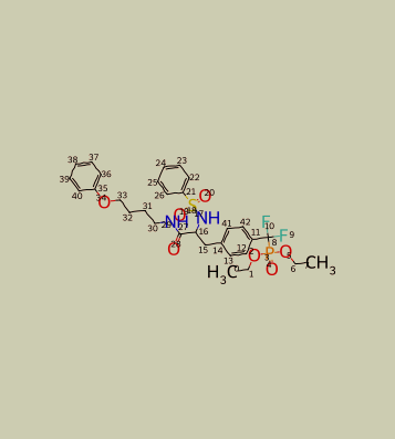 CCOP(=O)(OCC)C(F)(F)c1ccc(CC(NS(=O)(=O)c2ccccc2)C(=O)NCCCCOc2ccccc2)cc1